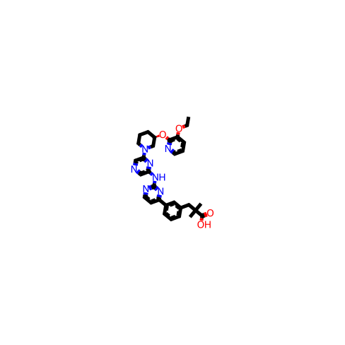 CCOc1cccnc1O[C@@H]1CCCN(c2cncc(Nc3nccc(-c4cccc(CC(C)(C)C(=O)O)c4)n3)n2)C1